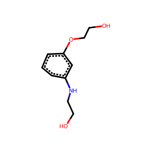 OCCNc1cccc(OCCO)c1